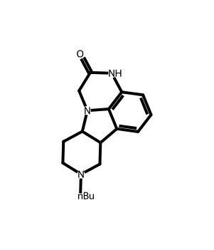 CCCCN1CCC2C(C1)c1cccc3c1N2CC(=O)N3